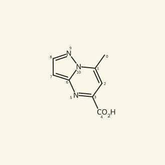 Cc1cc(C(=O)O)nc2ccnn12